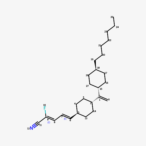 C=C([C@H]1CC[C@H](/C=C/C=C(\F)C#N)CC1)[C@H]1CC[C@H](CCCCCCC)CC1